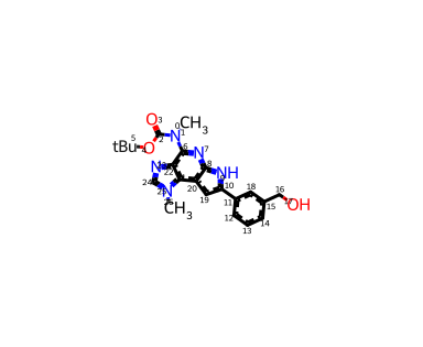 CN(C(=O)OC(C)(C)C)c1nc2[nH]c(-c3cccc(CO)c3)cc2c2c1ncn2C